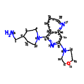 NCC1CCN(c2nc(N3CCOCC3)cc3ncccc23)CC1